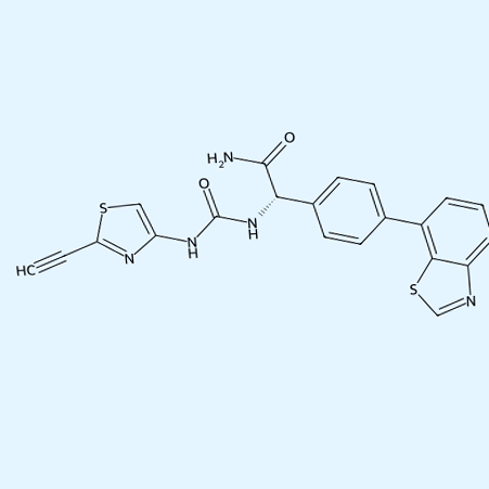 C#Cc1nc(NC(=O)N[C@H](C(N)=O)c2ccc(-c3cccc4ncsc34)cc2)cs1